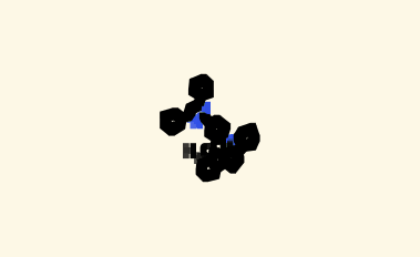 CC1(C)c2c(ccc3c4ccccc4n(-c4ccc(-c5nc(-c6ccccc6)cc(-c6ccccc6)n5)cc4)c23)C2C=CC=CC21